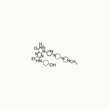 CCc1nc(C(N)=O)c(Nc2ccc(N3CCC(N4CCN(C)CC4)CC3)nc2)nc1N[C@H]1CC[C@H](O)CC1